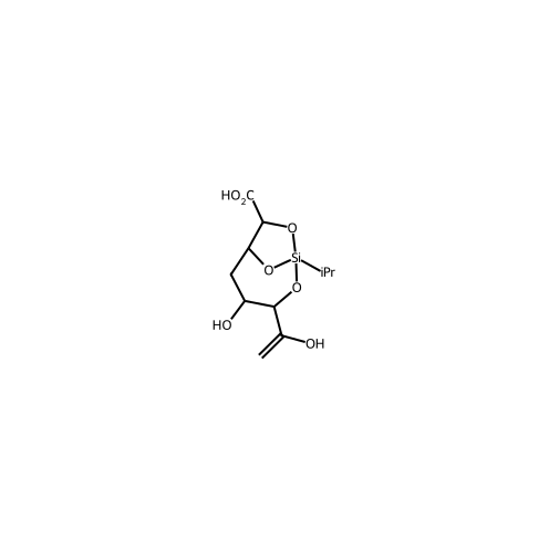 C=C(O)C1O[Si]2(C(C)C)OC(CC1O)C(C(=O)O)O2